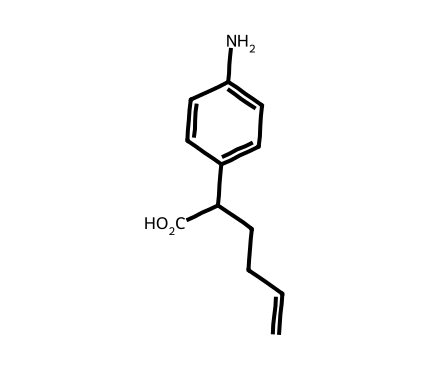 C=CCCC(C(=O)O)c1ccc(N)cc1